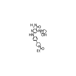 CCC(=O)N1CCC(c2ccc(Nc3cc(NCC4(O)CCCC4)c(C(N)=O)cn3)cc2)CC1